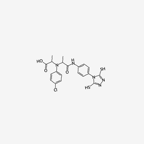 CC(C(=O)O)N(c1ccc(Cl)cc1)C(C)C(=O)Nc1ccc(-n2c(S)nnc2S)cc1